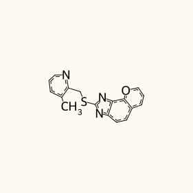 Cc1cccnc1CSc1nc2ccc3cccoc3c2n1